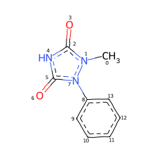 Cn1c(=O)[nH]c(=O)n1-c1ccccc1